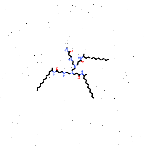 CCCCCCCCCCC(C)NC(=O)CCNCCN(CCC(=O)NC(C)CCCCCCCCCC)CCN(CCNCCC(=O)NC)CCC(=O)NC(C)CCCCCCCCCC